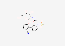 CC(=O)NC1C(Oc2cccc(C#N)c2-c2cccc(NS(C)(=O)=O)c2)OC(CO)C(O)C1O